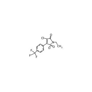 CCN1C(=O)C(Cl)=C(c2ccc(C(F)(F)F)cc2)S1(=O)=O